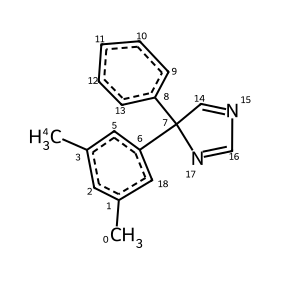 Cc1cc(C)cc(C2(c3ccccc3)C=NC=N2)c1